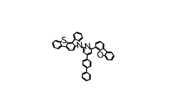 c1ccc(-c2ccc(-c3cc(-c4cccc5c4oc4ccccc45)nc(-n4c5ccccc5c5c6sc7ccccc7c6ccc54)c3)cc2)cc1